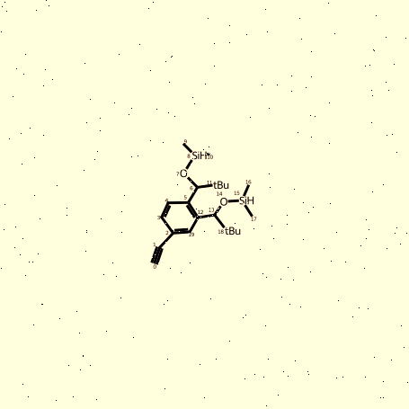 C#Cc1ccc(C(O[SiH](C)C)C(C)(C)C)c(C(O[SiH](C)C)C(C)(C)C)c1